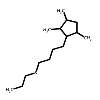 CCCSCCCCC1C(C)CC(C)C1C